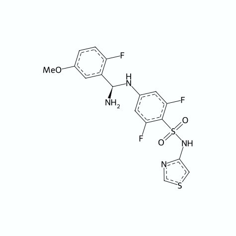 COc1ccc(F)c([C@H](N)Nc2cc(F)c(S(=O)(=O)Nc3cscn3)c(F)c2)c1